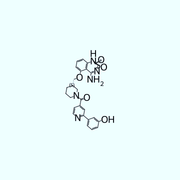 NC1=NS(=O)(=O)Nc2cccc(OC[C@H]3CCCN(C(=O)c4ccnc(-c5cccc(O)c5)c4)C3)c21